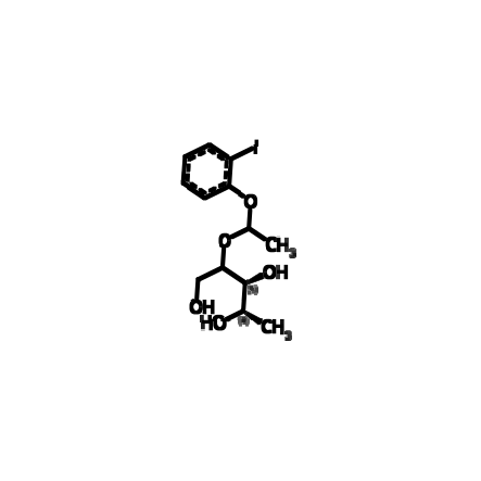 CC(Oc1ccccc1I)OC(CO)[C@@H](O)[C@@H](C)O